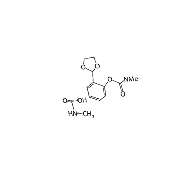 CNC(=O)O.CNC(=O)Oc1ccccc1C1OCCO1